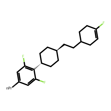 CCCc1cc(F)c([C@H]2CC[C@H](CCC3CC=C(F)CC3)CC2)c(F)c1